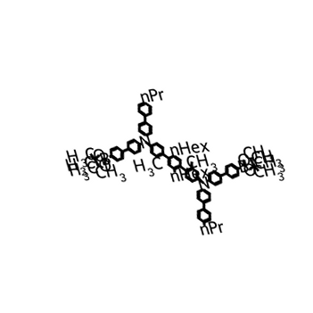 CCCCCCc1cc(-c2ccc(N(c3ccc(-c4ccc(CCC)cc4)cc3)c3ccc(-c4ccc(B5OC(C)(C)C(C)(C)O5)cc4)cc3)cc2C)c(CCCCCC)cc1-c1ccc(N(c2ccc(-c3ccc(CCC)cc3)cc2)c2ccc(-c3ccc(B4OC(C)(C)C(C)(C)O4)cc3)cc2)cc1C